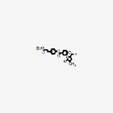 C=C1CC(C(CC)OC2=CC=C(C(=O)OC3=CC=C(/C=C/C(=O)OC(C)CC)CC3)CC2)OC1=O